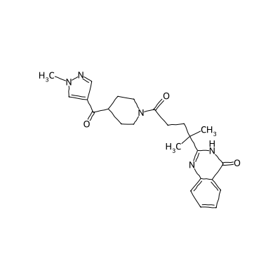 Cn1cc(C(=O)C2CCN(C(=O)CCC(C)(C)c3nc4ccccc4c(=O)[nH]3)CC2)cn1